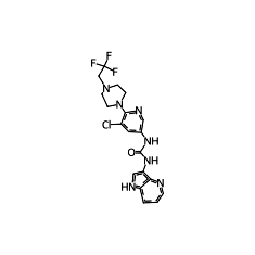 O=C(Nc1cnc(N2CCN(CC(F)(F)F)CC2)c(Cl)c1)Nc1c[nH]c2cccnc12